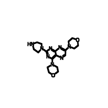 c1nc2c(N3CCOCC3)nc(N3CCNCC3)nc2nc1N1CCOCC1